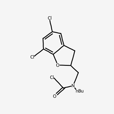 CCCCN(CC1Cc2cc(Cl)cc(Cl)c2O1)C(=O)Cl